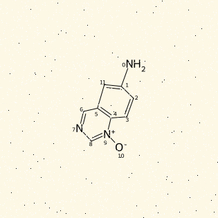 Nc1ccc2c(cnc[n+]2[O-])c1